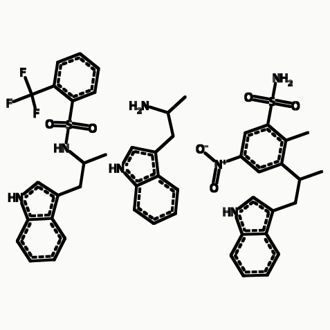 CC(Cc1c[nH]c2ccccc12)NS(=O)(=O)c1ccccc1C(F)(F)F.CC(N)Cc1c[nH]c2ccccc12.Cc1c(C(C)Cc2c[nH]c3ccccc23)cc([N+](=O)[O-])cc1S(N)(=O)=O